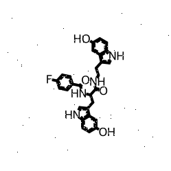 O=C(NC(Cc1c[nH]c2ccc(O)cc12)C(=O)NCCc1c[nH]c2ccc(O)cc12)c1ccc(F)cc1